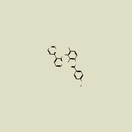 COc1ccc(C(=O)Nc2ccc(C)c(Oc3ncccc3-c3ccncn3)c2C)cc1